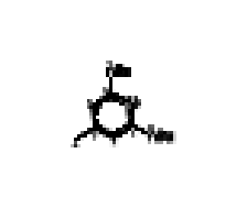 CCCCc1cc(C)cc(CCCC)n1